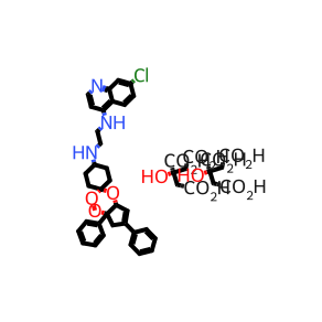 Clc1ccc2c(NCCNC3CCC4(CC3)OOC3(c5ccccc5)CC(c5ccccc5)=CC3O4)ccnc2c1.O=C(O)CC(O)(CC(=O)O)C(=O)O.O=C(O)CC(O)(CC(=O)O)C(=O)O